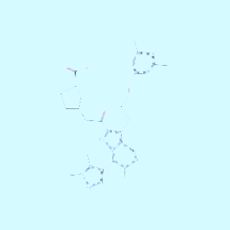 Cc1cc(OCCCc2c(C(=O)N[C@H]3CC[C@@H](C(=O)O)C3)[nH]c3c(-c4c(C)nn(C)c4C)c(Cl)ccc23)cc(C)c1Cl